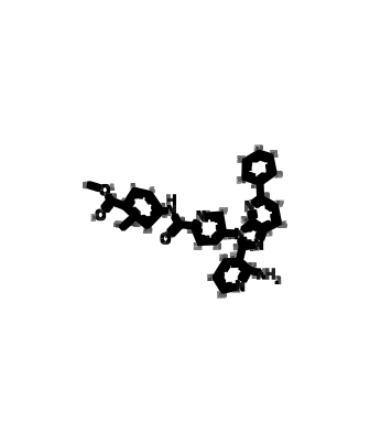 COC(=O)c1ccc(NC(=O)c2ccc(-n3c(-c4cccnc4N)nc4ccc(-c5ccccc5)nc43)cn2)cc1C